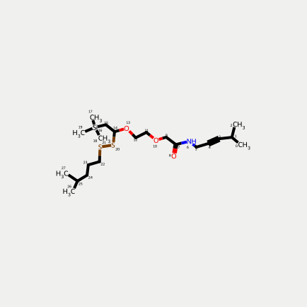 CC(C)C#CCNC(=O)COCCOC(C[Si](C)(C)C)SSCCCC(C)C